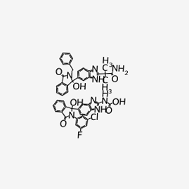 CC(C)(C(N)=O)c1nc2ccc(C3(O)c4ccccc4C(=O)N3Cc3ccccc3)cc2[nH]1.O=C(O)Nc1nc2cc(C3(O)c4ccccc4C(=O)N3c3cc(F)cc(Cl)c3)ccc2[nH]1